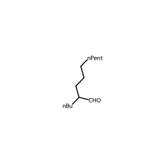 [CH2]CCCC(C=O)CCCCCCCC